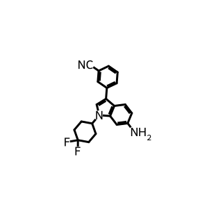 N#Cc1cccc(-c2cn(C3CCC(F)(F)CC3)c3cc(N)ccc23)c1